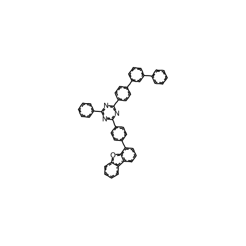 c1ccc(-c2cccc(-c3ccc(-c4nc(-c5ccccc5)nc(-c5ccc(-c6cccc7c6oc6ccccc67)cc5)n4)cc3)c2)cc1